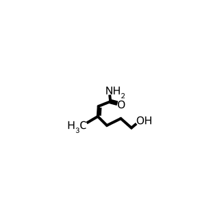 CC(=CC(N)=O)CCCO